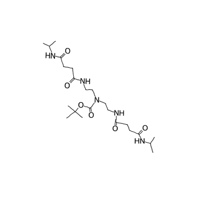 CC(C)NC(=O)CCC(=O)NCCN(CCNC(=O)CCC(=O)NC(C)C)C(=O)OC(C)(C)C